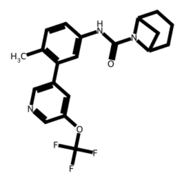 Cc1ccc(NC(=O)N2C3CCCC2C3)cc1-c1cncc(OC(F)(F)F)c1